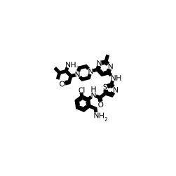 Cc1nc(Nc2ncc(C(=O)Nc3c(Cl)cccc3CN)s2)cc(N2CCN(C(C=O)C(N)C(C)C)CC2)n1